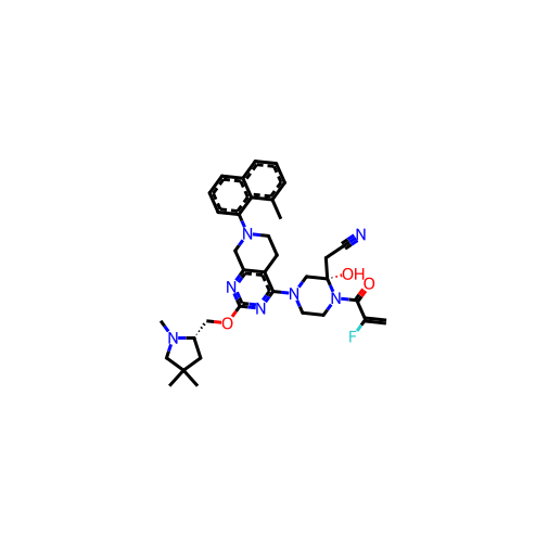 C=C(F)C(=O)N1CCN(c2nc(OC[C@@H]3CC(C)(C)CN3C)nc3c2CCN(c2cccc4cccc(C)c24)C3)C[C@@]1(O)CC#N